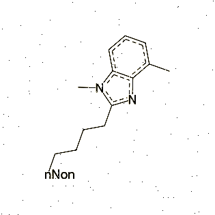 CCCCCCCCCCCCCc1nc2c(C)cccc2n1C